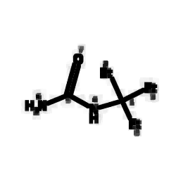 CCC(CC)(CC)NC(N)=O